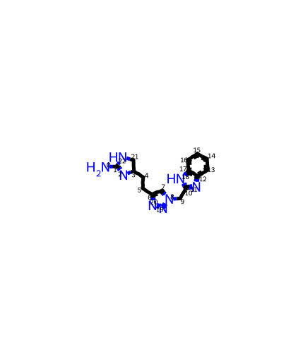 NC1=NC(CCc2cn(Cc3nc4ccccc4[nH]3)nn2)CN1